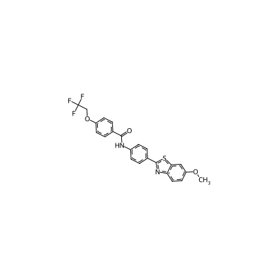 COc1ccc2nc(-c3ccc(NC(=O)c4ccc(OCC(F)(F)F)cc4)cc3)sc2c1